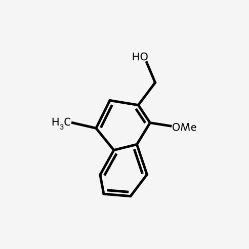 COc1c(CO)cc(C)c2ccccc12